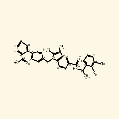 Cc1c(C)n(Cc2ccc(-c3ccccc3C(=O)O)cc2)c2ccc(C(=O)NC(C)c3cccc(Cl)c3Cl)cc12